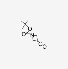 CC(C)(C)OC(=O)N1CC(=C=O)C1